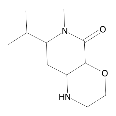 CC(C)C1CC2NCCOC2C(=O)N1C